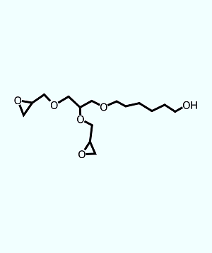 OCCCCCCOCC(COCC1CO1)OCC1CO1